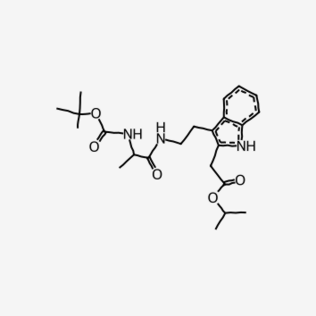 CC(C)OC(=O)Cc1[nH]c2ccccc2c1CCNC(=O)C(C)NC(=O)OC(C)(C)C